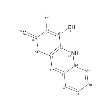 CC1=C(O)C2=C(C=C3C=CC=CC3N2)CC1=O